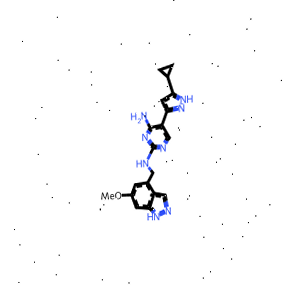 COc1cc(CNc2ncc(-c3cc(C4CC4)[nH]n3)c(N)n2)c2cn[nH]c2c1